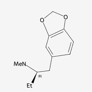 CC[C@H](Cc1ccc2c(c1)OCO2)NC